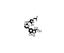 CC(C)c1nn(CC(F)F)cc1Nc1nccc(-c2cc(C#N)c3c(c2)[C@@](C)(CO)CN3)n1